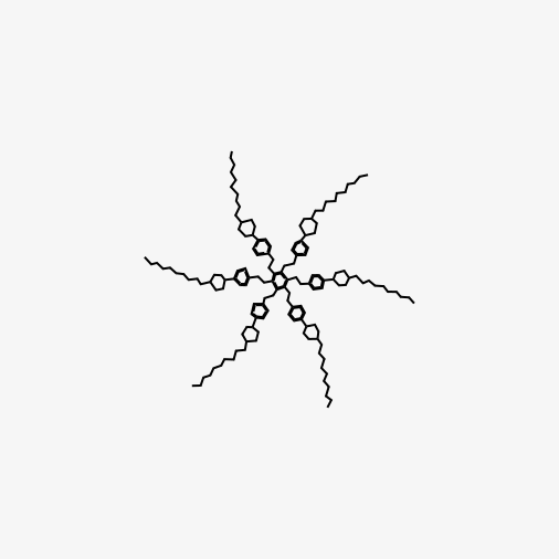 CCCCCCCCCCC1CCC(c2ccc(CCc3c(CCc4ccc(C5CCC(CCCCCCCCCC)CC5)cc4)c(CCc4ccc(C5CCC(CCCCCCCCCC)CC5)cc4)c(CCc4ccc(C5CCC(CCCCCCCCCC)CC5)cc4)c(CCc4ccc(C5CCC(CCCCCCCCCC)CC5)cc4)c3CCc3ccc(C4CCC(CCCCCCCCCC)CC4)cc3)cc2)CC1